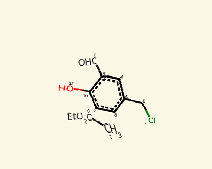 CCOC(C)=O.O=Cc1cc(CCl)ccc1O